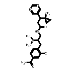 CN(C)C(CNC(=O)CC(c1cncnc1)C1(C(F)(F)F)CC1)Cc1ccc(C(N)=O)cc1Cl